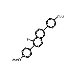 CCCCc1ccc(-c2ccc3c(F)c(-c4ccc(OC)cc4)ccc3c2)cc1